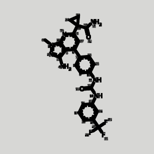 Cn1nc(N)c2c(-c3ccc(NC(=O)Nc4cccc(C(F)(F)F)c4)cc3)cc(C3(C(N)=O)CC3)nc21